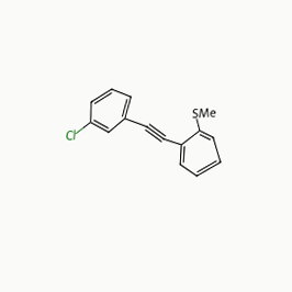 CSc1ccccc1C#Cc1cccc(Cl)c1